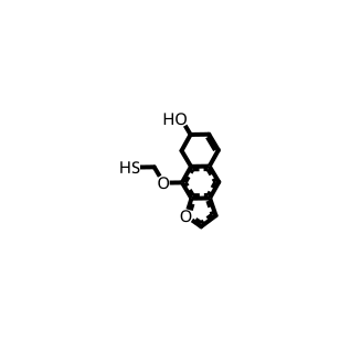 OC1C=Cc2cc3ccoc3c(OCS)c2C1